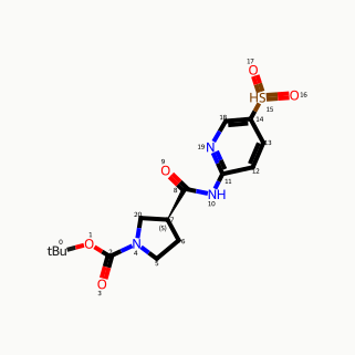 CC(C)(C)OC(=O)N1CC[C@H](C(=O)Nc2ccc([SH](=O)=O)cn2)C1